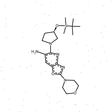 CC(C)(C)[Si](C)(C)O[C@@H]1CCN(c2nc3nc(N4CCOCC4)oc3cc2N)C1